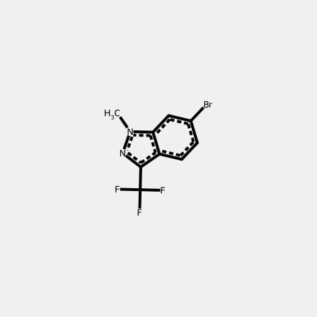 Cn1nc(C(F)(F)F)c2ccc(Br)cc21